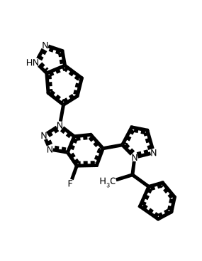 CC(c1ccccc1)n1nccc1-c1cc(F)c2nnn(-c3ccc4cn[nH]c4c3)c2c1